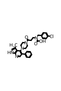 Cc1c[nH]c2ncc(-c3ccccc3)c(N3CCN(C(=O)CCN(Cc4ccc(Cl)cc4)C(=O)O)CC3)c12